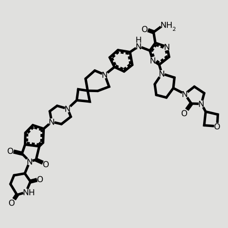 NC(=O)c1ncc(N2CCCC(N3CCN(C4COC4)C3=O)C2)nc1Nc1ccc(N2CCC3(CC2)CC(N2CCN(c4ccc5c(c4)C(=O)N(C4CCC(=O)NC4=O)C5=O)CC2)C3)cc1